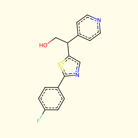 OCC(c1ccncc1)c1cnc(-c2ccc(F)cc2)s1